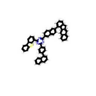 C1=CC2c3ccccc3SC2C(c2nc(-c3ccc(-c4cccc5ccccc45)cc3)nc(-c3ccc4cc(-c5cccc6c5-c5cc7ccccc7cc5C6)ccc4c3)n2)=C1